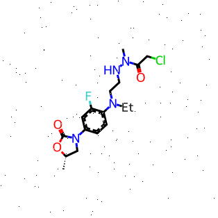 CCN(CCNN(C)C(=O)CCl)c1ccc(N2C[C@H](C)OC2=O)cc1F